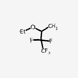 C[CH]OC(C)C(F)(F)C(F)(F)F